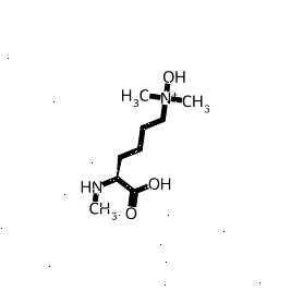 CN[C@@H](CCCC[N+](C)(C)O)C(=O)O